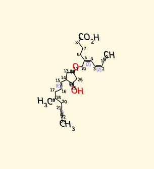 C#C/C=C\C=C(\CCCC(=O)O)CO[C@@H]1CC(/C=C/CC(C)CC#CC)[C@H](O)C1